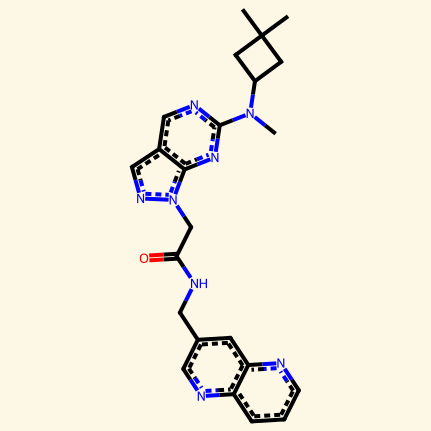 CN(c1ncc2cnn(CC(=O)NCc3cnc4cccnc4c3)c2n1)C1CC(C)(C)C1